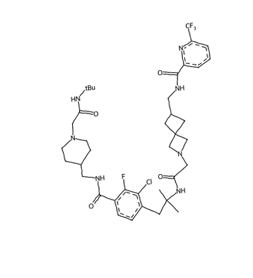 CC(C)(C)NC(=O)CN1CCC(CNC(=O)c2ccc(CC(C)(C)NC(=O)CN3CC4(CC(CNC(=O)c5cccc(C(F)(F)F)n5)C4)C3)c(Cl)c2F)CC1